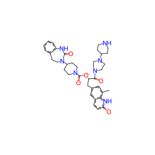 Cc1cc(CC(OC(=O)N2CCC(N3CCc4ccccc4NC3=O)CC2)C(=O)N2CCN(C3CCNCC3)CC2)cc2ccc(=O)[nH]c12